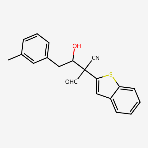 Cc1cccc(CC(O)C(C#N)(C=O)c2cc3ccccc3s2)c1